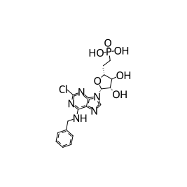 O=P(O)(O)CC[C@H]1O[C@@H](n2cnc3c(NCc4ccccc4)nc(Cl)nc32)[C@@H](O)C1O